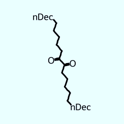 CCCCCCCCCCCCCCCC(=O)C(=O)CCCCCCCCCCCCCCC